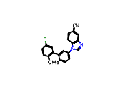 COc1ccc(F)cc1-c1cccc(-n2cnc3cc(C#N)ccc32)c1